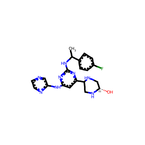 CC(Nc1nc(Nc2cnccn2)cc(C2CN[C@@H](O)CN2)n1)c1ccc(F)cc1